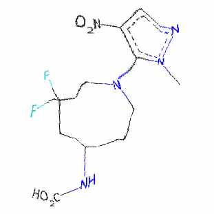 Cn1ncc([N+](=O)[O-])c1N1CCC(NC(=O)O)CC(F)(F)C1